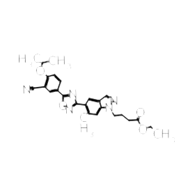 CCOC(=O)CCCn1ncc2cc(-c3noc(-c4ccc(OC(C)C)c(C#N)c4)n3)c(C)cc21